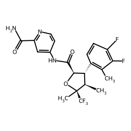 Cc1c([C@@H]2[C@@H](C)[C@@](C)(C(F)(F)F)O[C@H]2C(=O)Nc2ccnc(C(N)=O)c2)ccc(F)c1F